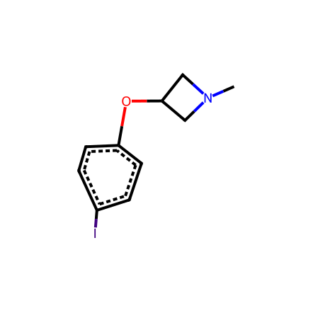 CN1CC(Oc2ccc(I)cc2)C1